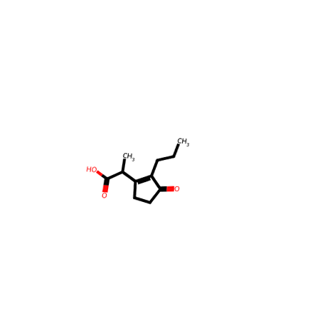 CCCC1=C(C(C)C(=O)O)CCC1=O